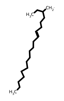 [CH2]C(CC)CCCC=CCCCCCCCCCCC